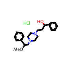 COC(CN1CCN(CCC(O)c2ccccc2)CC1)c1ccccc1.Cl